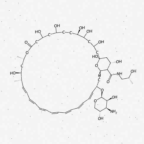 C[C@@H](O)CNC(=O)C1[C@@H]2CC(O[C@@H]3OC[C@@H](O)[C@H](N)[C@@H]3O)/C=C/C=C/C=C/C=C/C=C/C=C/C=C/[C@H](C)[C@@H](O)C[C@H](C)OC(=O)CC(O)CC(O)CC[C@@H](O)C(O)CC(O)CC(O)(C[C@@H]1O)O2